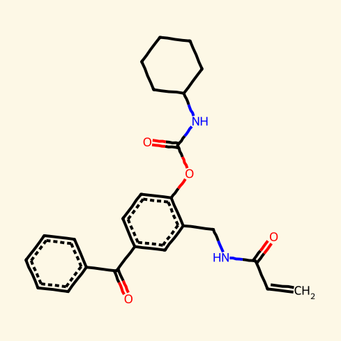 C=CC(=O)NCc1cc(C(=O)c2ccccc2)ccc1OC(=O)NC1CCCCC1